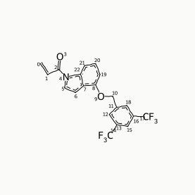 C=CC(=O)n1ccc2c(OCc3cc(C(F)(F)F)cc(C(F)(F)F)c3)cccc21